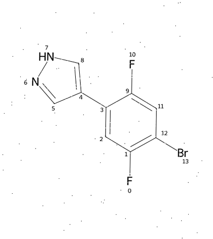 Fc1cc(-c2cn[nH]c2)c(F)cc1Br